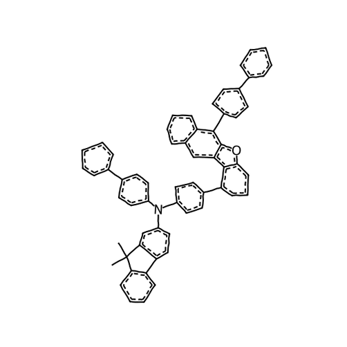 CC1(C)c2ccccc2-c2ccc(N(c3ccc(-c4ccccc4)cc3)c3ccc(-c4cccc5oc6c(-c7ccc(-c8ccccc8)cc7)c7ccccc7cc6c45)cc3)cc21